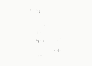 NCCOC(=O)CC(O)(CC(=O)O)C(=O)O